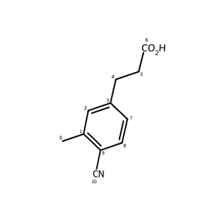 Cc1cc(CCC(=O)O)ccc1C#N